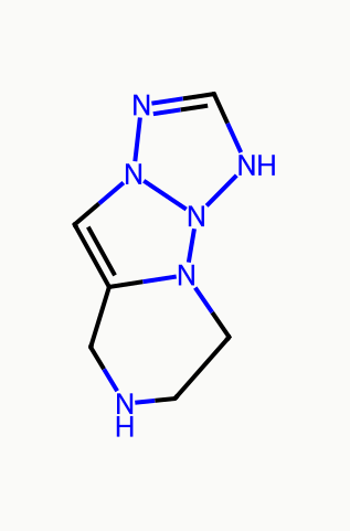 C1=NN2C=C3CNCCN3N2N1